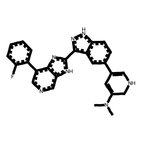 CN(C)C1=CC(c2ccc3[nH]nc(-c4nc5c(-c6ccccc6F)cncc5[nH]4)c3c2)=CNC1